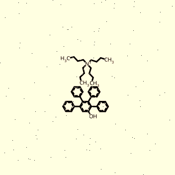 CCCC[N+](CCCC)(CCCC)CCCC.Oc1cc(-c2ccccc2)c(-c2ccccc2)c(-c2ccccc2)c1-c1ccccc1